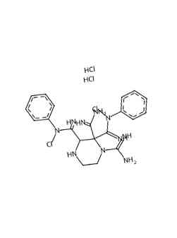 Cl.Cl.N=C(C1NCCN(C(=N)N)C1(C(=N)N)C(=N)N(Cl)c1ccccc1)N(Cl)c1ccccc1